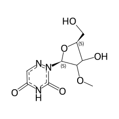 COC1C(O)[C@H](CO)O[C@@H]1n1ncc(=O)[nH]c1=O